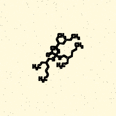 CCCCC(CC)CSC(SCC(CC)CCCC)(SCC(CC)CCCC)C(=O)O